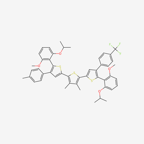 COc1cccc(OC(C)C)c1-c1sc(-c2sc(-c3cc(-c4ccc(C(F)(F)F)cc4)c(-c4c(OC)cccc4OC(C)C)s3)c(C)c2C)cc1-c1ccc(C)cc1